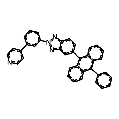 c1ccc(-c2c3ccccc3c(-c3ccc4nn(-c5cccc(-c6ccncc6)c5)nc4c3)c3ccccc23)cc1